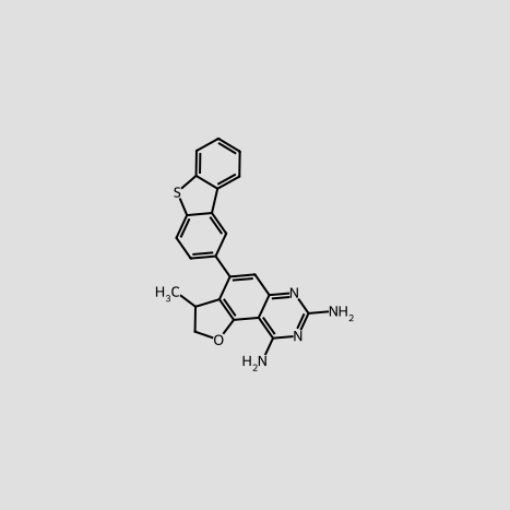 CC1COc2c1c(-c1ccc3sc4ccccc4c3c1)cc1nc(N)nc(N)c21